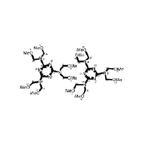 COCN(COC)c1nc(N(COC)COC)nc(N(COC)COC)n1.COCN(COC)c1nc(N(COC)COC)nc(N(COC)COC)n1